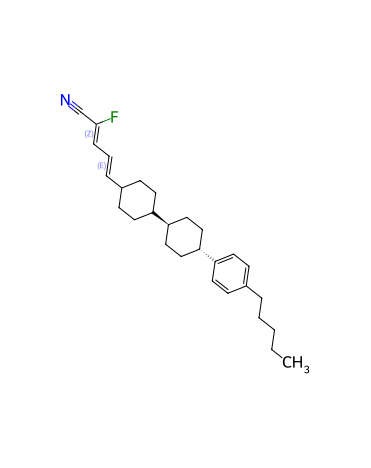 CCCCCc1ccc([C@H]2CC[C@H](C3CCC(/C=C/C=C(\F)C#N)CC3)CC2)cc1